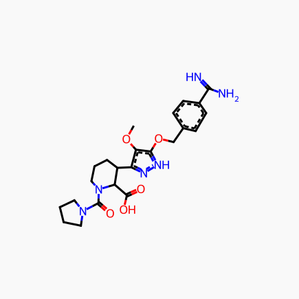 COc1c(C2CCCN(C(=O)N3CCCC3)C2C(=O)O)n[nH]c1OCc1ccc(C(=N)N)cc1